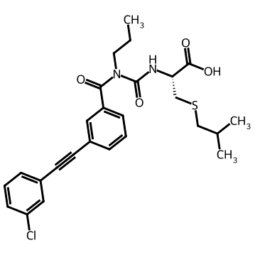 CCCN(C(=O)N[C@@H](CSCC(C)C)C(=O)O)C(=O)c1cccc(C#Cc2cccc(Cl)c2)c1